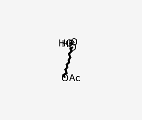 CC(=O)OCCCCCCCCCCCO[PH](=O)O